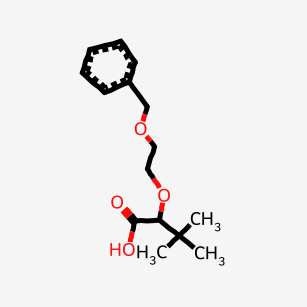 CC(C)(C)C(OCCOCc1ccccc1)C(=O)O